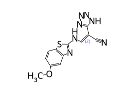 COc1ccc2sc(N/C=C(/C#N)c3nnn[nH]3)nc2c1